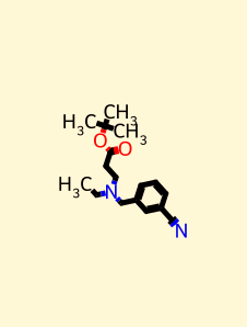 CCN(CCC(=O)OC(C)(C)C)Cc1cccc(C#N)c1